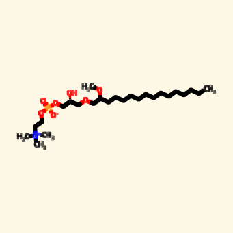 CCCCCCCCCCCCCCC(COC[C@@H](O)COP(=O)([O-])OCC[N+](C)(C)C)OC